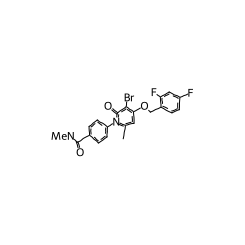 CNC(=O)c1ccc(-n2c(C)cc(OCc3ccc(F)cc3F)c(Br)c2=O)cc1